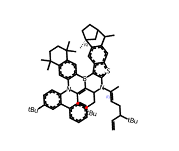 C=CC(C/C=C(\C)N1c2sc3cc4c(cc3c2B2C3=C(C=C(C(C)(C)C)CC31)N(c1ccc(C(C)(C)C)cc1-c1ccccc1)c1cc3c(cc12)C(C)(C)CCC3(C)C)[C@@]1(C)CCC(C1)C4C)C(C)(C)C